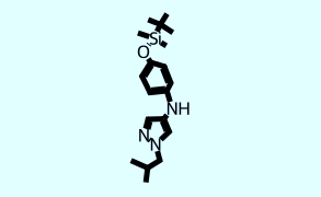 CC(C)Cn1cc(Nc2ccc(O[Si](C)(C)C(C)(C)C)cc2)cn1